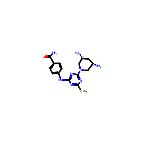 COc1nc(Nc2ccc(C(N)=O)cc2)nc(N2C[C@H](N)C[C@H](N)C2)n1